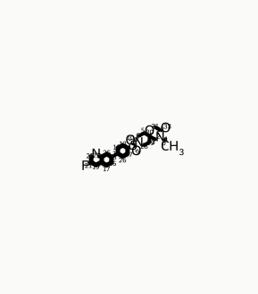 CCN1CC2(CCN(S(=O)(=O)c3ccc(-c4ccc5cc(F)cnc5c4)cc3)CC2)OCC1=O